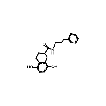 O=C(NCCCc1ccccc1)C1CCc2c(O)ccc(O)c2C1